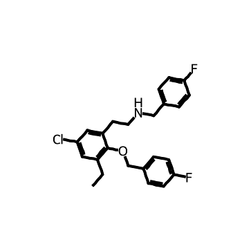 CCc1cc(Cl)cc(CCNCc2ccc(F)cc2)c1OCc1ccc(F)cc1